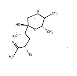 CC[C@@H](C[C@H](C)[C@]1(O)CBC(C)[C@H](C)O1)C(N)=O